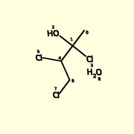 CC(O)(Cl)C(Cl)CCl.O